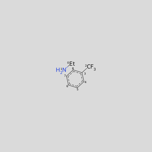 CCN.FC(F)(F)c1ccccc1